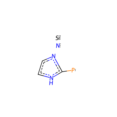 [N].[P]c1ncc[nH]1.[Si]